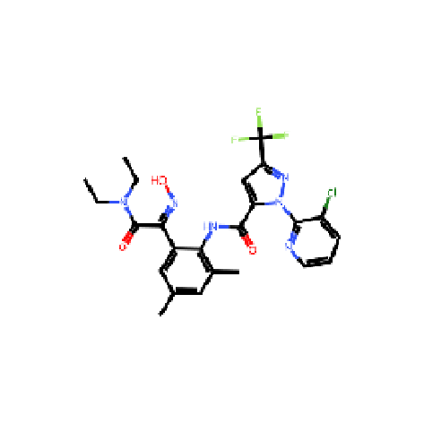 CCN(CC)C(=O)C(=NO)c1cc(C)cc(C)c1NC(=O)c1cc(C(F)(F)F)nn1-c1ncccc1Cl